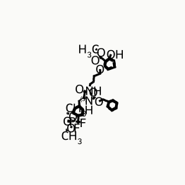 CCOP(=O)(OCC)C(F)(F)c1ccc(C[C@H](NC(=O)OCc2ccccc2)C(=O)NCCCCOc2cccc(O)c2C(=O)OC)cc1